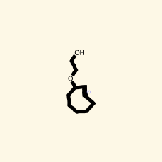 OCCOC1/C=C/CCCCC1